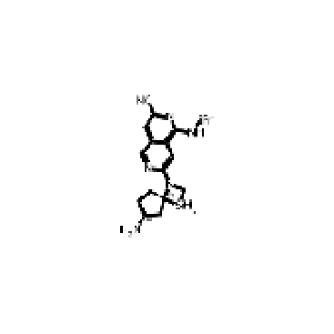 CC(C)Nc1nc(C#N)cc2cnc(N3C[SiH2][C@@]34CC[C@H](N)C4)cc12